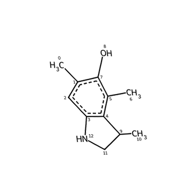 Cc1cc2c(c(C)c1O)C(C)CN2